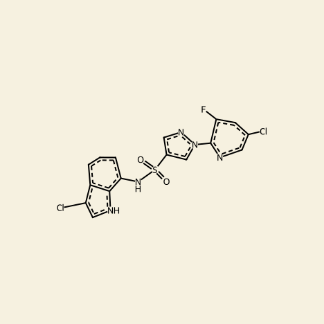 O=S(=O)(Nc1cccc2c(Cl)c[nH]c12)c1cnn(-c2ncc(Cl)cc2F)c1